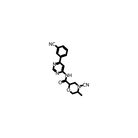 CC1COC(C(=O)Nc2cc(-c3cccc(C#N)c3)ncn2)CN1C#N